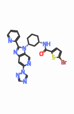 O=C(N[C@H]1CCC[C@@H](n2c(-c3ccccn3)nc3cc(-n4cncn4)ncc32)C1)c1ccc(Br)s1